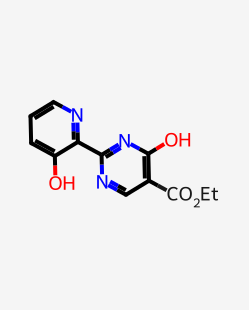 CCOC(=O)c1cnc(-c2ncccc2O)nc1O